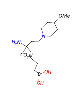 COC1CCN(CCC(N)(CCCCB(O)O)C(=O)O)CC1